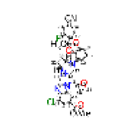 COC(=O)c1cc(Cl)c2nc(CN3CCN(c4cccc5c4O[C@](C)(c4ccc(C#N)cc4F)O5)[C@H]4CC[C@H]43)n(C[C@@H]3CCO3)c2c1